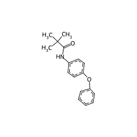 CC(C)(C)C(=O)Nc1ccc(Oc2ccccc2)cc1